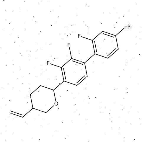 C=CC1CCC(c2ccc(-c3ccc(CCC)cc3F)c(F)c2F)OC1